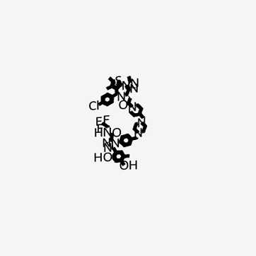 Cc1cc(-c2nnc(C(=O)NCC(F)(F)F)n2-c2ccc(CN3CCN(CC4CCN(C(=O)C[C@@H]5N=C(c6ccc(Cl)cc6)c6c(sc(C)c6C)-n6c(C)nnc65)CC4)CC3)cc2)c(O)cc1O